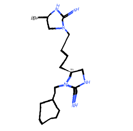 CCC(C)C1CN(CCCC[C@H]2CNC(=N)N2CC2CCCCC2)C(=N)N1